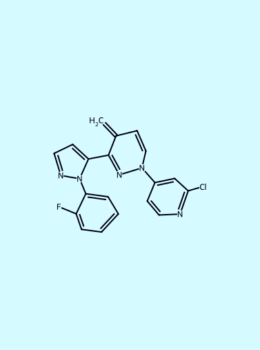 C=C1C=CN(c2ccnc(Cl)c2)N=C1c1ccnn1-c1ccccc1F